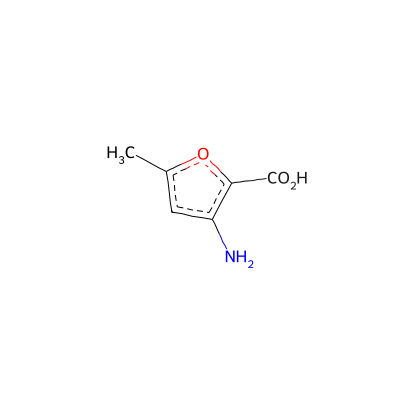 Cc1cc(N)c(C(=O)O)o1